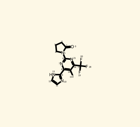 O=C1CCCN1c1nc(-c2ncc[nH]2)c(I)c(C(F)(F)F)n1